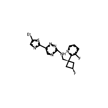 CCc1cnc(-c2cnc(NC[C@]3(c4ncccc4F)C[C@H](F)C3)nn2)s1